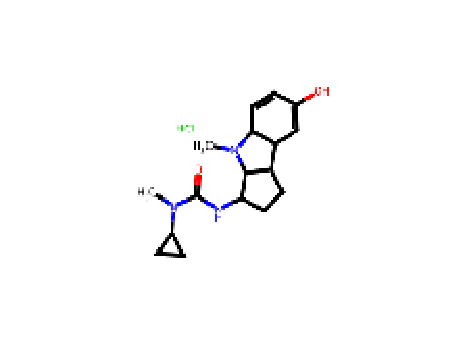 CN(C(=O)NC1CCC2C3C=C(O)C=CC3N(C)C12)C1CC1.Cl